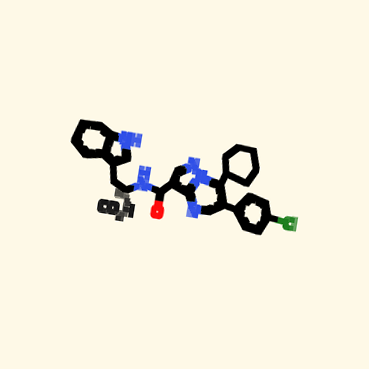 O=C(N[C@@H](Cc1c[nH]c2ccccc12)C(=O)O)c1cnn2c(C3CCCCC3)c(-c3ccc(Cl)cc3)cnc12